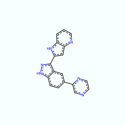 c1cnc2cc(-c3n[nH]c4ccc(-c5cnccn5)cc34)[nH]c2c1